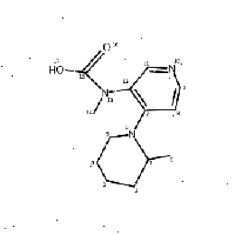 CC1CCCCN1c1ccncc1N(C)C(=O)O